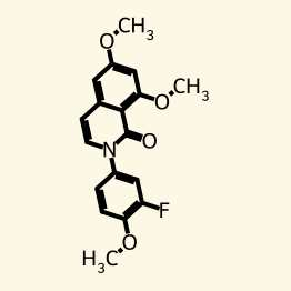 COc1cc(OC)c2c(=O)n(-c3ccc(OC)c(F)c3)ccc2c1